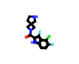 O=C(c1[nH]c2ccc(F)c(Cl)c2c1F)N1CC2(CCNC2)C1